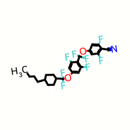 CCCCC1CCC(C(F)(F)Oc2cc(F)c(C(F)(F)Oc3cc(F)c(C#N)c(F)c3)c(F)c2)CC1